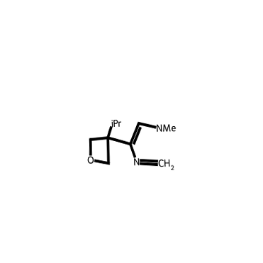 C=N/C(=C\NC)C1(C(C)C)COC1